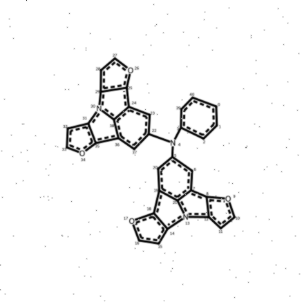 c1ccc(N(c2cc3c4occc4n4c5ccoc5c(c2)c34)c2cc3c4occc4n4c5ccoc5c(c2)c34)cc1